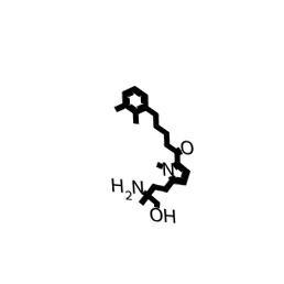 Cc1cccc(CCCCC(=O)c2ccc(CCC(C)(N)CO)n2C)c1C